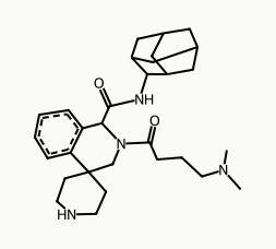 CN(C)CCCC(=O)N1CC2(CCNCC2)c2ccccc2C1C(=O)NC1C2CC3CC(C2)CC1C3